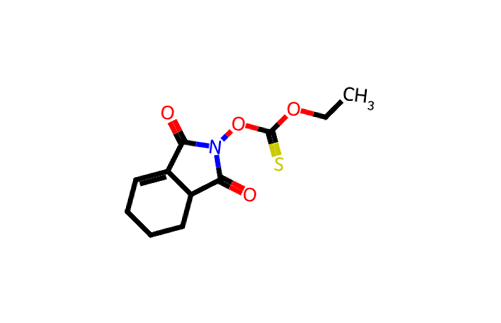 CCOC(=S)ON1C(=O)C2=CCCCC2C1=O